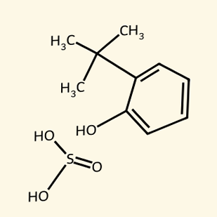 CC(C)(C)c1ccccc1O.O=S(O)O